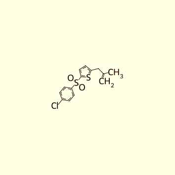 C=C(C)Cc1ccc(S(=O)(=O)c2ccc(Cl)cc2)s1